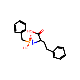 O=C(O)C(CCc1ccccc1)NP(=O)(O)Cc1ccccc1